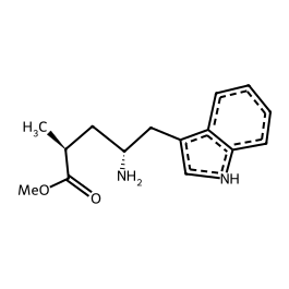 COC(=O)[C@@H](C)C[C@@H](N)Cc1c[nH]c2ccccc12